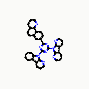 c1cnc2c(c1)ccc1cc(-c3nc(-n4c5ccccc5c5cccnc54)nc(-n4c5ncccc5c5cccnc54)n3)ccc12